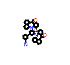 N#Cc1cccc(-c2cc3c4c(c2)-n2c5cccc6cccc(c7coc8ccc(c2c87)B4c2ccc4occ7c8cccc9cccc(c98)n-3c2c47)c65)c1